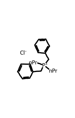 CCC[P+](CCC)(Cc1ccccc1)Cc1ccccc1.[Cl-]